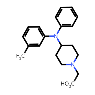 O=C(O)CN1CCC(N(c2ccccc2)c2cccc(C(F)(F)F)c2)CC1